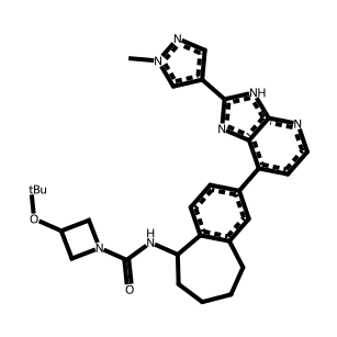 Cn1cc(-c2nc3c(-c4ccc5c(c4)CCCCC5NC(=O)N4CC(OC(C)(C)C)C4)ccnc3[nH]2)cn1